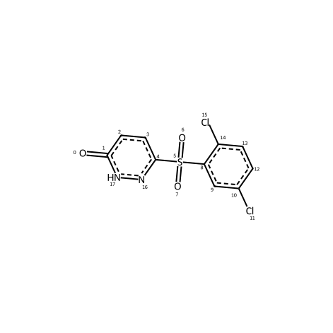 O=c1ccc(S(=O)(=O)c2cc(Cl)ccc2Cl)n[nH]1